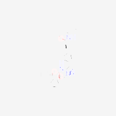 CC(C)[C@H](NC(=O)C#Cc1ccc(-c2cnn(C)c2NC(=O)O[C@H](C)c2ccccc2)cc1)C(=O)O